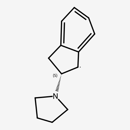 [CH]1c2ccccc2C[C@H]1N1CCCC1